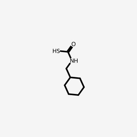 O=C(S)NCC1CCCCC1